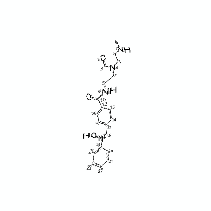 CNCCN(C=O)CCNC(=O)c1ccc(/C=[N+](\O)c2ccccc2)cc1